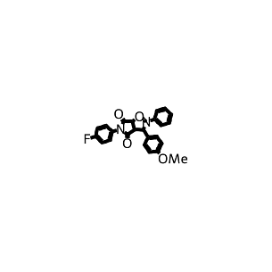 COc1ccc(C2C3C(=O)N(c4ccc(F)cc4)C(=O)C3ON2c2ccccc2)cc1